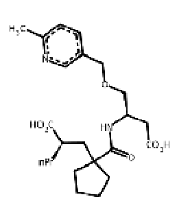 CCC[C@H](CC1(C(=O)N[C@@H](COCc2ccc(C)nc2)CC(=O)O)CCCC1)C(=O)O